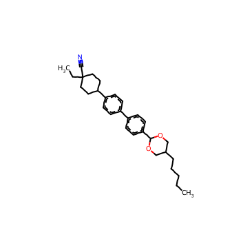 CCCCCC1COC(c2ccc(-c3ccc(C4CCC(C#N)(CC)CC4)cc3)cc2)OC1